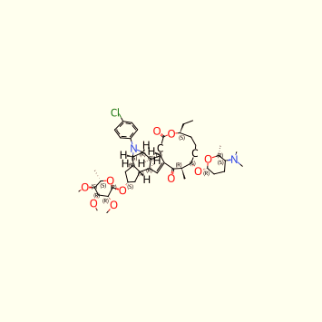 CC[C@H]1CCC[C@H](O[C@H]2CC[C@H](N(C)C)[C@@H](C)O2)[C@@H](C)C(=O)C2=C[C@H]3[C@@H]4C[C@H](O[C@@H]5O[C@@H](C)[C@H](OC)[C@@H](OC)[C@H]5OC)C[C@H]4[C@H]4[C@@H]([C@H]3[C@@H]2CC(=O)O1)N4c1ccc(Cl)cc1